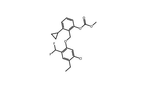 CCc1cc(C(F)F)c(OCc2c(OC(=O)OC)cccc2C2CC2)cc1Cl